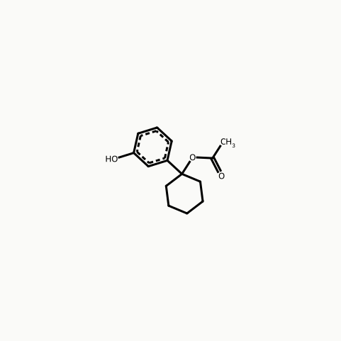 CC(=O)OC1(c2cccc(O)c2)CCCCC1